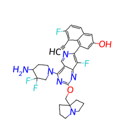 C#Cc1c(F)ccc2cc(O)cc(-c3ncc4c(N5CCC(N)C(F)(F)C5)nc(OCC56CCCN5CCC6)nc4c3F)c12